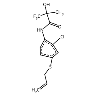 C=CCSc1ccc(NC(=O)C(C)(O)C(F)(F)F)c(Cl)c1